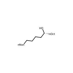 CCCCCCCCCCCCC[C@H](O)CCCCCCCC